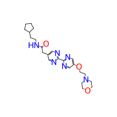 O=C(Cc1cnc(-c2ncc(OCCN3CCOCC3)cn2)nc1)NCCC1CCCC1